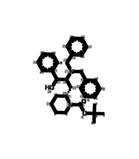 CC(C)(C)OC(=O)N1CCCC[C@@H]1CC(C(O)c1ccccc1)N(Cc1ccccc1)Cc1ccccc1